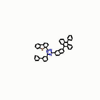 c1ccc(-c2cccc(-c3nc(-c4ccc5ccc(-c6c7ccccc7c(-c7ccccc7)c7ccccc67)cc5c4)nc(-c4cccc5c4sc4ccccc45)n3)c2)cc1